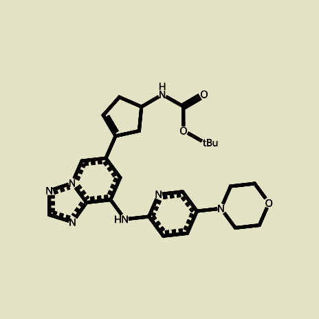 CC(C)(C)OC(=O)NC1CC=C(c2cc(Nc3ccc(N4CCOCC4)cn3)c3ncnn3c2)C1